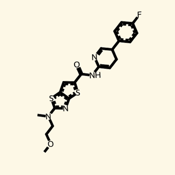 COCCN(C)c1nc2sc(C(=O)NC3=CCC(c4ccc(F)cc4)C=N3)cc2s1